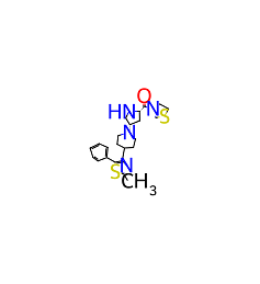 Cc1nc(C2CCN([C@@H]3CN[C@H](C(=O)N4CCSC4)C3)CC2)c(-c2ccccc2)s1